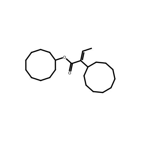 CC=C(C(=O)OC1CCCCCCCCC1)C1CCCCCCCCC1